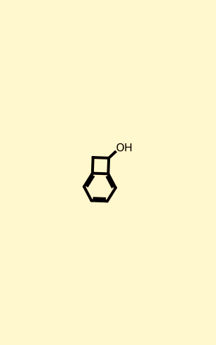 OC1Cc2ccccc21